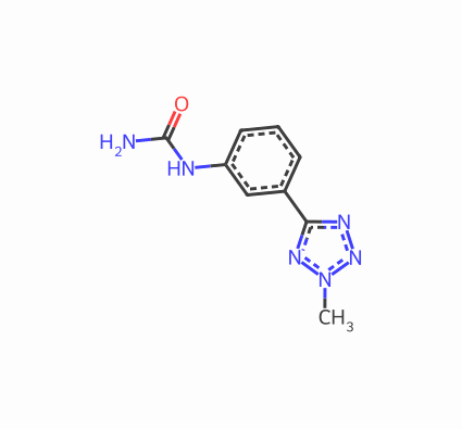 Cn1nnc(-c2cccc(NC(N)=O)c2)n1